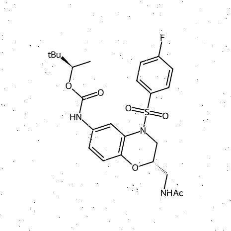 CC(=O)NC[C@H]1CN(S(=O)(=O)c2ccc(F)cc2)c2cc(NC(=O)O[C@H](C)C(C)(C)C)ccc2O1